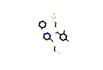 Cc1ccc(C(N)SCCNS(C)(=O)=O)c(C)c1.Cl.NCCSCc1ccc(Oc2ccccc2)cc1